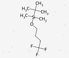 CC(C)(C)[Si](C)(C)OCCCC(F)(F)F